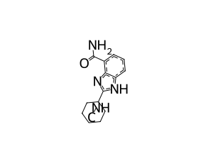 NC(=O)c1cccc2[nH]c(C34CCC(CC3)CN4)nc12